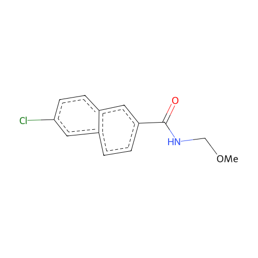 COCNC(=O)c1ccc2cc(Cl)ccc2c1